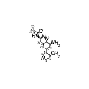 Cc1ccncc1-c1cc(N)c2nnc(NC(=O)C3CC3)cc2c1